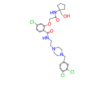 O=C(COc1cc(Cl)ccc1C(=O)NCCN1CCN(Cc2ccc(Cl)c(Cl)c2)CC1)NC1(CO)CCCC1